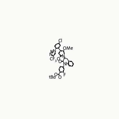 COc1cn([C@@H](Cc2ccccc2)C(=O)Nc2ccc(C(=O)OC(C)(C)C)c(F)c2)c(=O)cc1-c1cc(Cl)ccc1-n1cc(C(F)(F)F)nn1